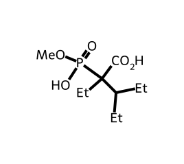 CCC(CC)C(CC)(C(=O)O)P(=O)(O)OC